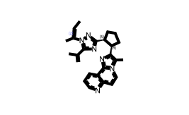 C=C(C)c1nc([C@H]2CCC[C@H]2c2nc3c4cccnc4ccn3c2C)nn1/C(C)=C\C